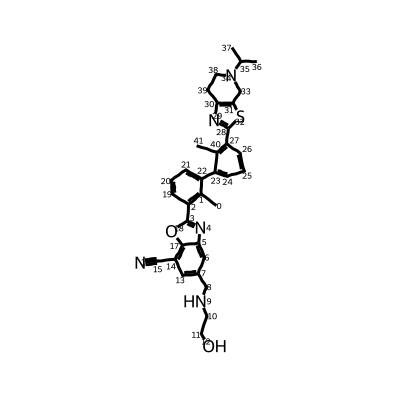 Cc1c(-c2nc3cc(CNCCO)cc(C#N)c3o2)cccc1-c1cccc(-c2nc3c(s2)CN(C(C)C)CC3)c1C